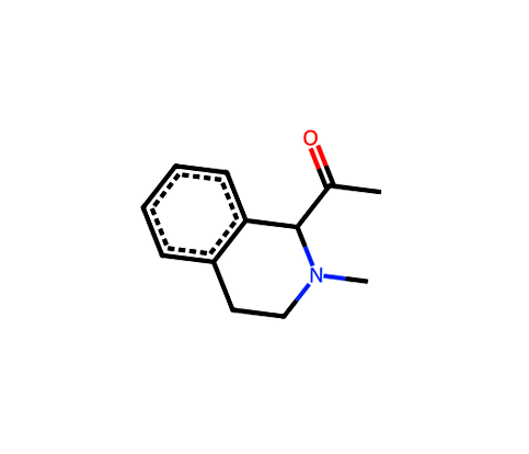 CC(=O)C1c2ccccc2CCN1C